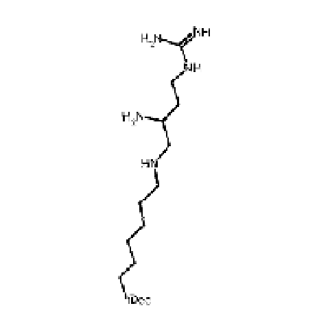 CCCCCCCCCCCCCCCCNCC(N)CCNC(=N)N